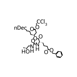 CCCCCCCCCCCCC[C@@H](CC(=O)OCC(Cl)(Cl)Cl)OC(=O)[C@H](CCCC(=O)OCc1ccccc1)NC(=O)NC[C@H](C)O